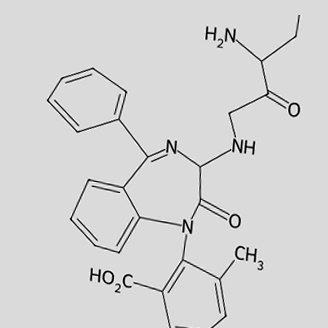 Cc1cccc(C(=O)O)c1N1C(=O)C(NCC(=O)C(N)CS)N=C(c2ccccc2)c2ccccc21